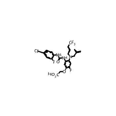 C=C(C)CN(CCCC(F)(F)F)c1cc(F)c(OCC(=O)O)cc1NC(=O)Nc1ccc(Cl)cc1F